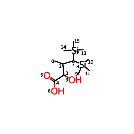 CC(C(O)C(=O)O)C([Si](C)(C)C)[Si](C)(C)C